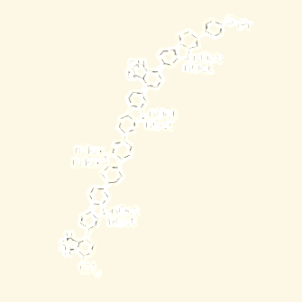 CCCCCCCCC1(CCCCCCCC)c2cc(-c3ccc4c(c3)C(CCCCCC)(CCCCCC)c3cc(-c5ccc6c(c5)C(CCCCCCCC)(CCCCCCCC)c5cc(-c7ccc(-c8ccc9c(c8)C(CCCCCCCC)(CCCCCCCC)c8cc(-c%10ccc(SC(C)C)cc%10)ccc8-9)c8nsnc78)ccc5-6)ccc3-4)ccc2-c2ccc(-c3ccc(C)c4nsnc34)cc21